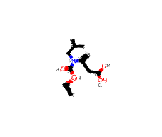 CCOC(=O)N(CC(C)C)C(C)CC(=O)O